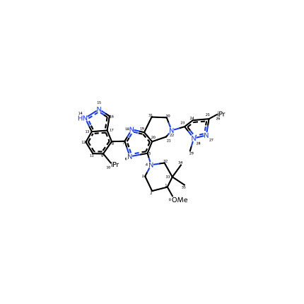 COC1CCN(c2nc(-c3c(C(C)C)ccc4[nH]ncc34)nc3c2CN(c2cc(C(C)C)nn2C)CC3)CC1(C)C